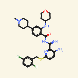 CN1CCC(c2ccc(C(=O)NC(=N)c3nc(SCc4cc(Cl)ccc4Cl)ccc3N)c(NC3CCOCC3)c2)CC1